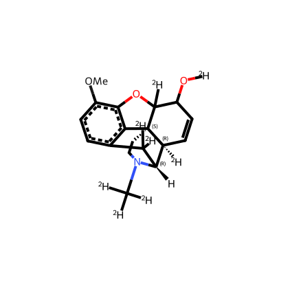 [2H]OC1C=C[C@@]2([2H])[C@@H]3N(C([2H])([2H])[2H])CC[C@@]24c2c(ccc(OC)c2OC14[2H])C3([2H])[2H]